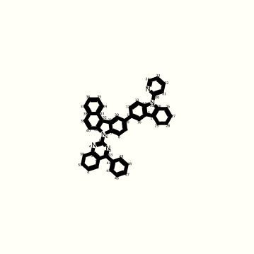 C1=Cc2c(nc(-n3c4ccc(-c5ccc6c(c5)c5c(n6-c6ccccn6)C=CCC5)cc4c4c5ccccc5ccc43)nc2-c2ccccc2)CC1